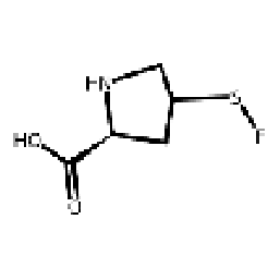 O=C(O)[C@@H]1CC(SF)CN1